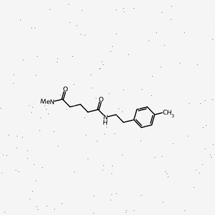 CNC(=O)CCCC(=O)NCCc1ccc(C)cc1